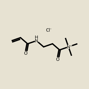 C=CC(=O)NCCC(=O)[N+](C)(C)C.[Cl-]